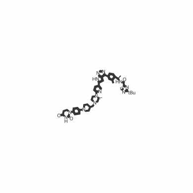 Cc1cc(-c2ncnc3[nH]c(-c4ccc(N5CCN(CC6CCN(c7ccc(N8CCC(=O)NC8=O)cc7)CC6)C[C@H]5C)nc4)cc23)ccc1[C@@H](C)NC(=O)c1nc(C(C)(C)C)no1